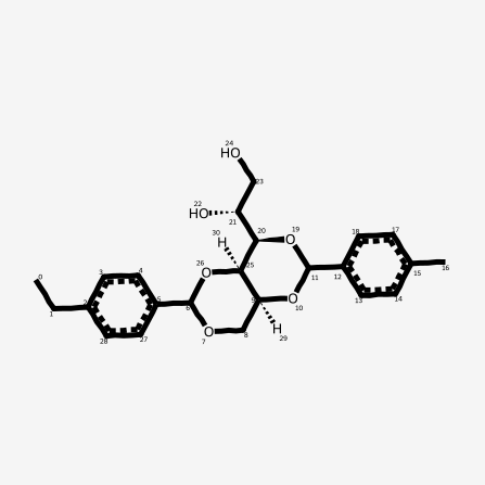 CCc1ccc(C2OC[C@@H]3OC(c4ccc(C)cc4)O[C@H]([C@H](O)CO)[C@@H]3O2)cc1